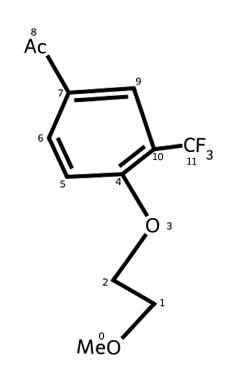 COCCOc1ccc(C(C)=O)cc1C(F)(F)F